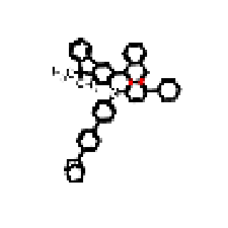 CC1(C)c2ccccc2-c2cc(-c3cccc4ccccc34)c(N(c3ccc(-c4ccc(C5CC6CCC5C6)cc4)cc3)c3ccc(C4CCCCC4)cc3)cc21